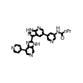 CCCC(=O)Nc1cncc(-c2cnc3[nH]nc(-c4nc5c(-c6ccncc6)cncc5[nH]4)c3c2)c1